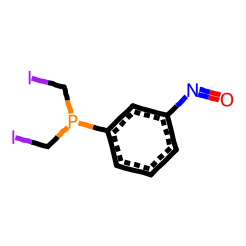 O=Nc1cccc(P(CI)CI)c1